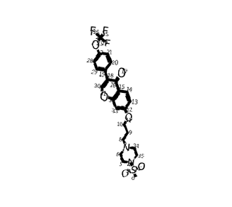 CS(=O)(=O)N1CCN(CCCOc2ccc3c(=O)c(-c4ccc(OC(F)(F)F)cc4)coc3c2)CC1